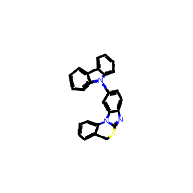 c1ccc2c(c1)CSc1nc3ccc(-n4c5ccccc5c5ccccc54)cc3n1-2